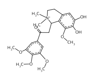 COc1cc(C(=O)CC2c3c(cc(O)c(O)c3OC)CC[N+]2(C)C)cc(OC)c1OC